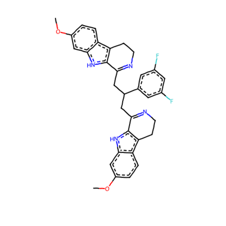 COc1ccc2c3c([nH]c2c1)C(CC(CC1=NCCc2c1[nH]c1cc(OC)ccc21)c1cc(F)cc(F)c1)=NCC3